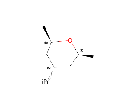 CC(C)[C@@H]1C[C@@H](C)O[C@@H](C)C1